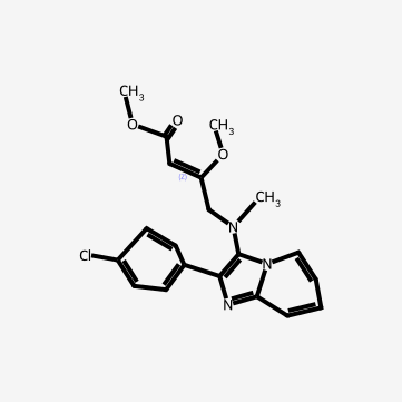 COC(=O)/C=C(/CN(C)c1c(-c2ccc(Cl)cc2)nc2ccccn12)OC